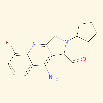 Nc1c2c(nc3c(Br)cccc13)CN(C1CCCC1)C2C=O